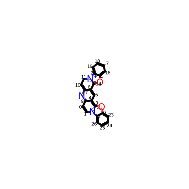 C1=CN2C(=c3cc4c(nc31)=CC[n+]1c-4oc3ccccc31)Oc1ccccc12